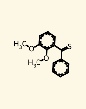 COc1cccc(C(=S)c2ccccc2)c1OC